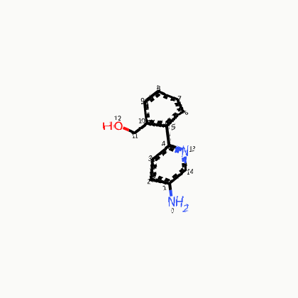 Nc1ccc(-c2ccccc2CO)nc1